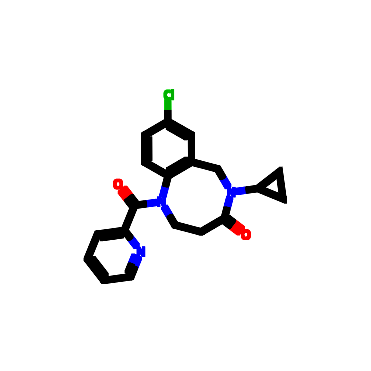 O=C(c1ccccn1)N1CCC(=O)N(C2CC2)Cc2cc(Cl)ccc21